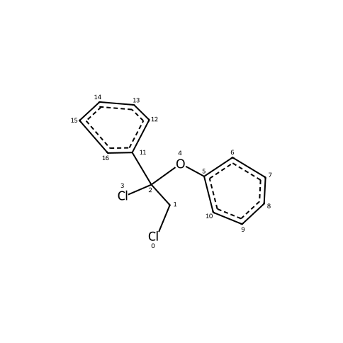 ClCC(Cl)(Oc1ccccc1)c1ccccc1